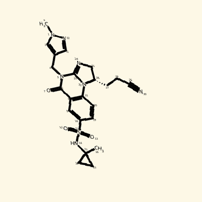 Cn1cc(CN2C(=O)c3cc(S(=O)(=O)NC4(C)CC4)ccc3N3C2=NC[C@@H]3CCC#N)cn1